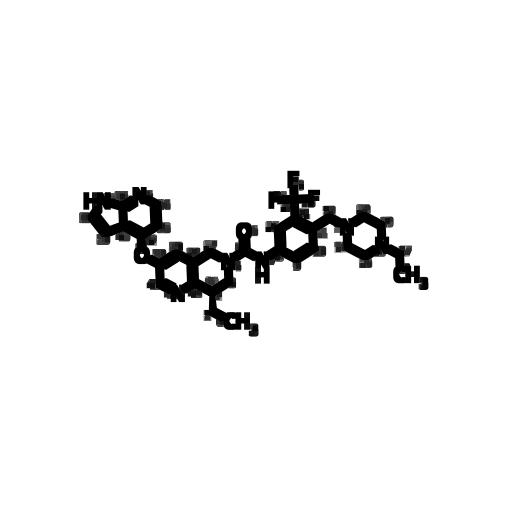 CC[C@@H]1CN(C(=O)Nc2ccc(CN3CCN(CC)CC3)c(C(F)(F)F)c2)Cc2cc(Oc3ccnc4[nH]ccc34)cnc21